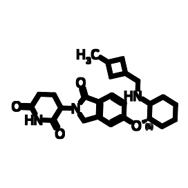 CC1CC(CNC2CCCC[C@@H]2Oc2ccc3c(c2)CN(C2CCC(=O)NC2=O)C3=O)C1